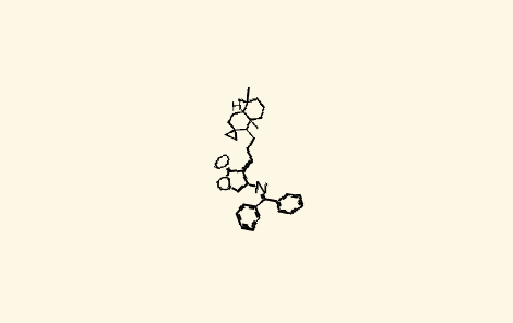 CC1(C)CCC[C@@]2(C)[C@H]1CCC1(CC1)[C@@H]2CC/C=C1\C(=O)OCC1N=C(c1ccccc1)c1ccccc1